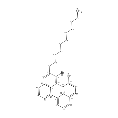 CCCCCCCCCCCc1cc2cccc3c4cccc5ccc(Br)c(c(c1Br)c23)c54